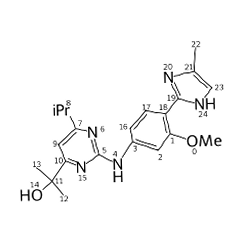 COc1cc(Nc2nc(C(C)C)cc(C(C)(C)O)n2)ccc1-c1nc(C)c[nH]1